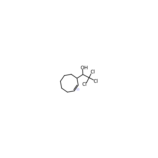 OC(C1/C=C\CCCCC1)C(Cl)(Cl)Cl